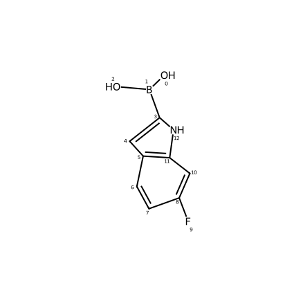 OB(O)c1cc2ccc(F)cc2[nH]1